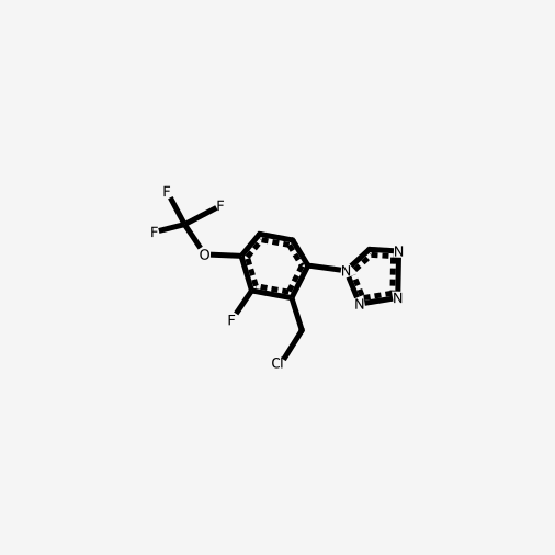 Fc1c(OC(F)(F)F)ccc(-n2cnnn2)c1CCl